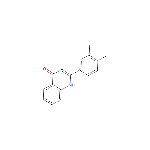 Cc1ccc(-c2cc(=O)c3ccccc3[nH]2)cc1C